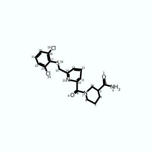 NC(=O)C1CCCN(C(=O)c2cccc(CSc3c(Cl)cccc3Cl)n2)C1